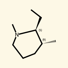 CC[C@H]1[C@H](C)CCCN1C